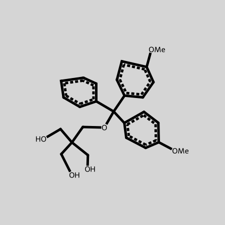 COc1ccc(C(OCC(CO)(CO)CO)(c2ccccc2)c2ccc(OC)cc2)cc1